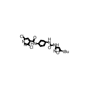 CC(C)(C)c1cc(NC(=O)Nc2ccc(NC(=O)c3cc(Cl)nnc3Cl)cc2)no1